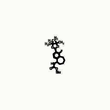 CC(C)(C)OC(=O)NC1CCCCc2c1ccc(B1OC(C)(C)C(C)(C)O1)c2F